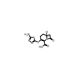 Nc1nnc(SC2=C(C(=O)O)N3C(=O)C[C@H]3CC2)s1